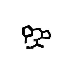 COC(=O)N[C@H]1CCC[C@@H]1Cc1cccc(F)c1